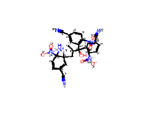 CC(CC1(I)C=C(C#N)C=CC1(N)[N+](=O)[O-])C(O)(c1cc(C#N)ccc1[N+](=O)[O-])c1cc(C#N)ccc1[N+](=O)[O-]